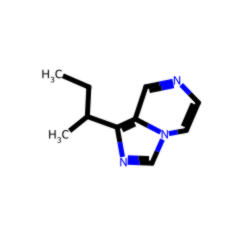 CCC(C)c1ncn2ccncc12